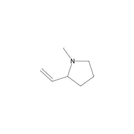 C=CC1CCCN1C